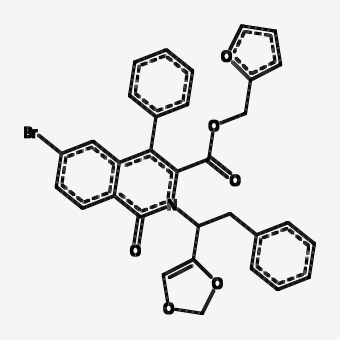 O=C(OCc1ccco1)c1c(-c2ccccc2)c2cc(Br)ccc2c(=O)n1C(Cc1ccccc1)C1=COCO1